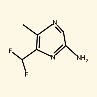 Cc1ncc(N)nc1C(F)F